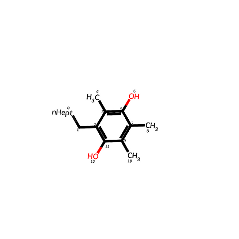 CCCCCCCCc1c(C)c(O)c(C)c(C)c1O